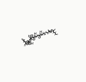 CCCCC(C)O/N=C(\C)CCSCCNC(=O)CCNC(=O)C(O)C(C)(C)COP(=O)(O)OC(C)CCCC